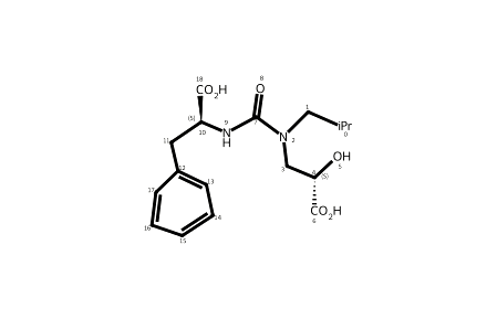 CC(C)CN(C[C@H](O)C(=O)O)C(=O)N[C@@H](Cc1ccccc1)C(=O)O